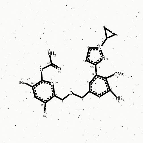 COc1c(N)cc(COCc2nc(OC(N)=O)c(C(C)(C)C)cc2F)cc1-c1ccn(C2CC2)n1